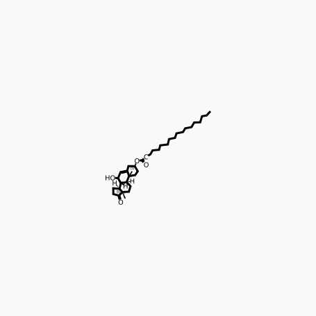 CCCCCCCCCCCCCCCCCC(=O)O[C@H]1CC[C@@]2(C)C(=CC(O)[C@@H]3[C@@H]2CC[C@]2(C)C(=O)CC[C@@H]32)C1